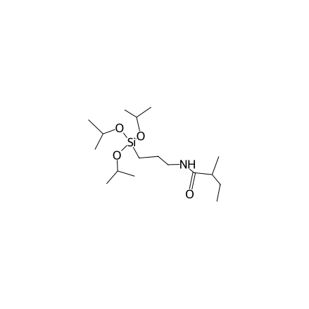 CCC(C)C(=O)NCCC[Si](OC(C)C)(OC(C)C)OC(C)C